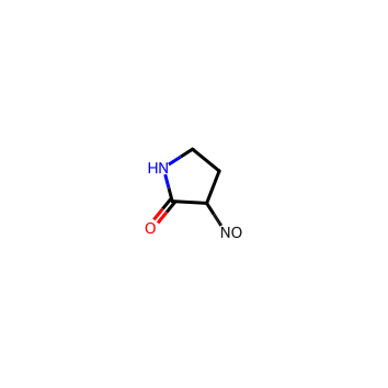 O=NC1CCNC1=O